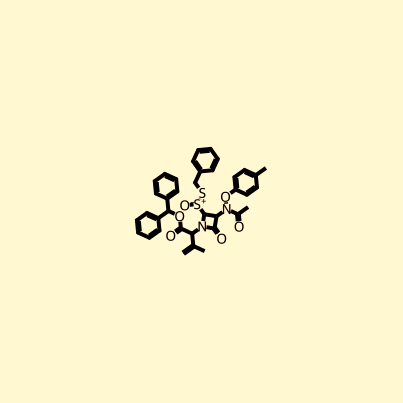 C=C(C)C(C(=O)OC(c1ccccc1)c1ccccc1)N1C(=O)C(N(Oc2ccc(C)cc2)C(C)=O)C1[S+]([O-])SCc1ccccc1